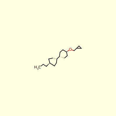 CCC[C@H]1CC[C@H]([C@H]2CC[C@H](OCC3CC3)CC2)CC1